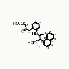 CC(C(=O)Nc1ccccc1CN(C)CC(=O)O)c1cccc2ccccc12.Cl